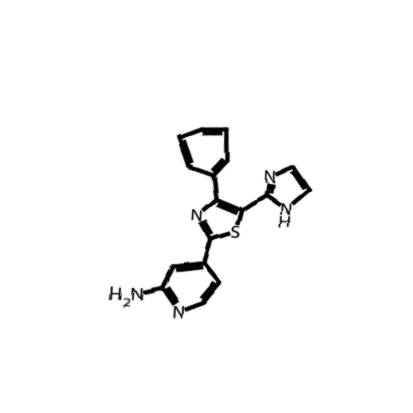 Nc1cc(-c2nc(-c3ccccc3)c(-c3ncc[nH]3)s2)ccn1